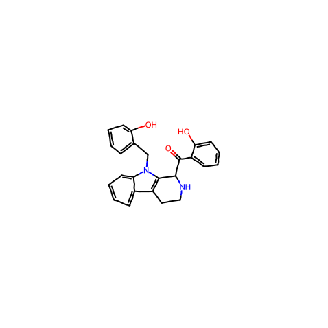 O=C(c1ccccc1O)C1NCCc2c1n(Cc1ccccc1O)c1ccccc21